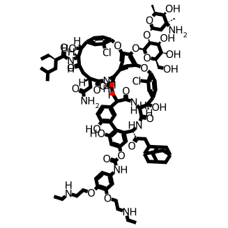 CCNCCOc1ccc(NC(=O)Oc2cc(O)c3c(c2)[C@@H](C(=O)CC2C4CC5CC(C4)CC2C5)NC(=O)[C@H]2NC(=O)[C@H](CC(=O)[C@@H]4NC(=O)[C@H](CC(N)=O)CC(=O)[C@H](NC(=O)[C@H](CC)CC(C)C)[C@H](O)c5ccc(c(Cl)c5)Oc5cc4cc(c5O[C@@H]4O[C@H](CO)[C@@H](O)[C@H](O)[C@H]4O[C@H]4C[C@](C)(N)[C@H](O)[C@H](C)O4)Oc4ccc(cc4Cl)[C@H]2O)c2ccc(O)c-3c2)cc1OCCNCC